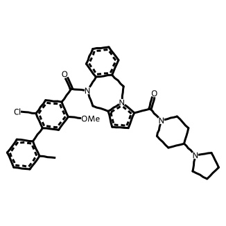 COc1cc(-c2ccccc2C)c(Cl)cc1C(=O)N1Cc2ccc(C(=O)N3CCC(N4CCCC4)CC3)n2Cc2ccccc21